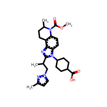 COC(=O)N1c2ccc3c(nc(C(C)Cn4ccc(C)n4)n3C3CCC(C(=O)O)CC3)c2CCC1C